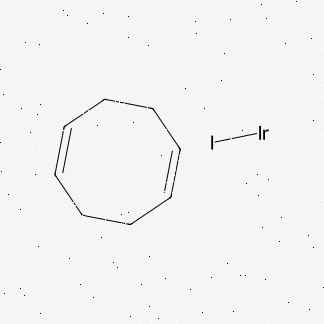 C1=CCCC=CCC1.[I][Ir]